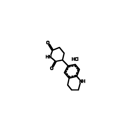 Cl.O=C1CCC(c2ccc3c(c2)CCCN3)C(=O)N1